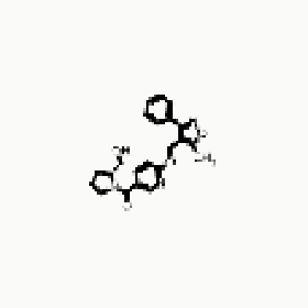 Cc1onc(-c2ccccc2)c1COc1ccc(C(=O)N2CCC[C@H]2CO)cn1